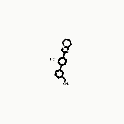 CCc1cccc(-c2ccc(-c3cn4c(n3)CCCC4)cc2)c1.Cl